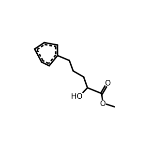 COC(=O)C(O)CCCc1ccccc1